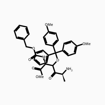 COC(=O)[C@@H](NC(=O)OCc1ccccc1)C(OC(c1ccccc1)(c1ccc(OC)cc1)c1ccc(OC)cc1)C(=O)[C@H](C)N